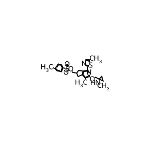 CNC1(COc2nc(-c3ncc(C)s3)c3c(c2C)CC(COS(=O)(=O)c2ccc(C)cc2)C3)CC1